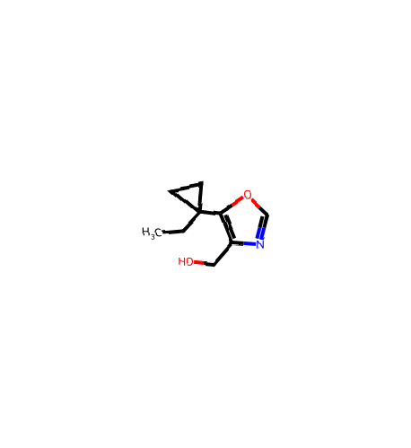 CCC1(c2ocnc2CO)CC1